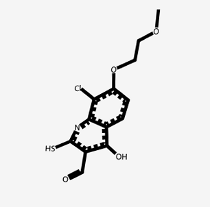 COCCOc1ccc2c(O)c(C=O)c(S)nc2c1Cl